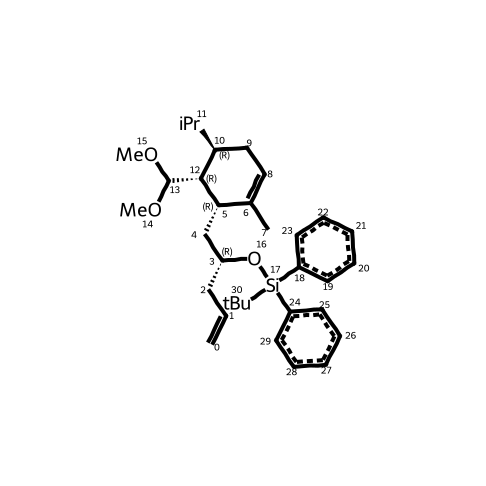 C=CC[C@H](C[C@H]1C(C)=CC[C@H](C(C)C)[C@H]1C(OC)OC)O[Si](c1ccccc1)(c1ccccc1)C(C)(C)C